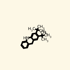 CC(C)(C)c1cc2c(cc1C(C)(C)C)Nc1ccccc1C2